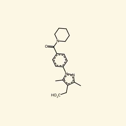 Cc1nn(-c2ccc(C(=O)N3CCCCC3)cc2)c(C)c1CC(=O)O